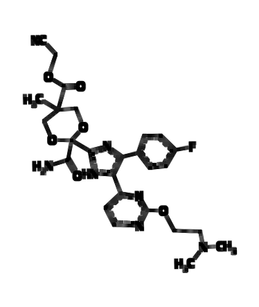 CN(C)CCOc1nccc(-c2[nH]c(C3(C(N)=O)OCC(C)(C(=O)OCC#N)CO3)nc2-c2ccc(F)cc2)n1